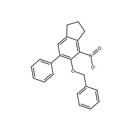 O=[N+]([O-])c1c2c(cc(-c3c[c]ccc3)c1OCc1ccccc1)CCC2